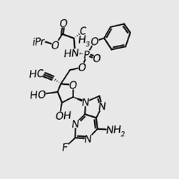 C#C[C@]1(CO[P@@](=O)(N[C@@H](C)C(=O)OC(C)C)Oc2ccccc2)O[C@@H](n2cnc3c(N)nc(F)nc32)C(O)C1O